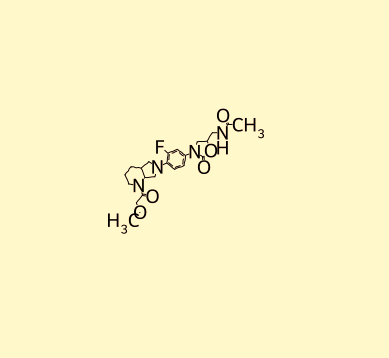 COCC(=O)N1CCCC2CN(c3ccc(N4CC(CNC(C)=O)OC4=O)cc3F)CC21